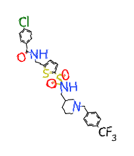 O=C(NCc1ccc(S(=O)(=O)NCC2CCCN(Cc3ccc(C(F)(F)F)cc3)C2)s1)c1ccc(Cl)cc1